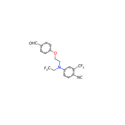 [C-]#[N+]c1ccc(N(CCOc2ccc(C=O)cc2)CC(F)(F)F)cc1C(F)(F)F